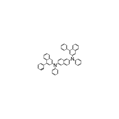 c1cccc(-c2cc(N(c3ccccc3)c3ccc4cc(N(c5ccccc5)c5cc(-c6ccccc6)c6ccccc6c5)ccc4c3)cc3ccccc23)c#1